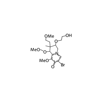 COCCC1(C)C(OCCO)Cn2cc(Br)c(=O)c(OC)c2C1OCOC